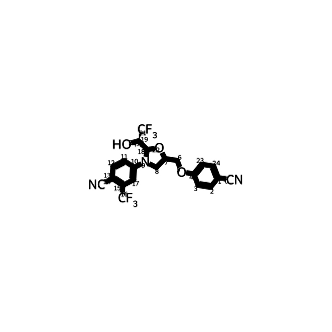 N#Cc1ccc(OCC2CN(c3ccc(C#N)c(C(F)(F)F)c3)C([C@H](O)C(F)(F)F)O2)cc1